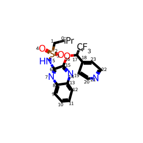 CC(C)CS(=O)(=O)Nc1nc2ccccc2nc1OC(c1ccncc1)C(F)(F)F